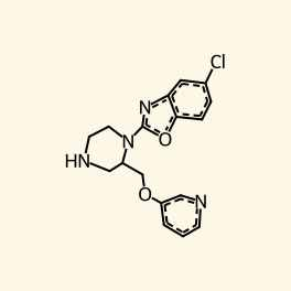 Clc1ccc2oc(N3CCNCC3COc3cccnc3)nc2c1